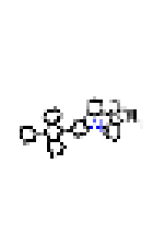 CC1(C)C2=C3C(CC=C2)c2cc(-c4c5ccccc5c(-c5ccccc5)c5ccccc45)ccc2N3c2ccccc21